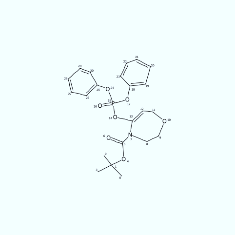 CC(C)(C)OC(=O)N1CCOCC=C1OP(=O)(Oc1ccccc1)Oc1ccccc1